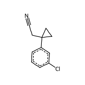 N#CCC1(c2cccc(Cl)c2)CC1